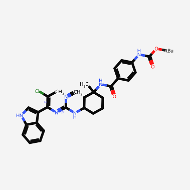 C=N/C(=N\C(=C(/C)Cl)c1c[nH]c2ccccc12)NC1CCCC(C)(NC(=O)c2ccc(NC(=O)OC(C)(C)C)cc2)C1